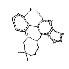 C[Si]1(C)CCN(c2c(-c3c(F)cccc3Cl)c(Cl)nc3ncnn23)CC1